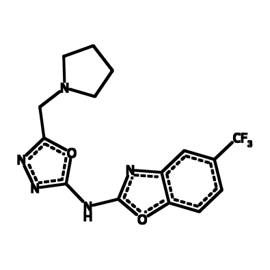 FC(F)(F)c1ccc2oc(Nc3nnc(CN4CCCC4)o3)nc2c1